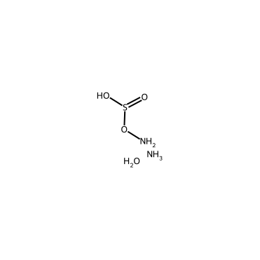 N.NOS(=O)O.O